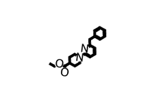 CCOC(=O)C1CCN(c2cccc(Cc3ccccc3)n2)CC1